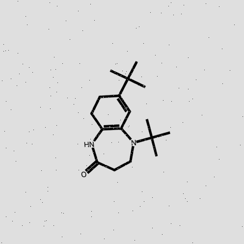 CC(C)(C)C1=CC2=C(CC1)NC(=O)CCN2C(C)(C)C